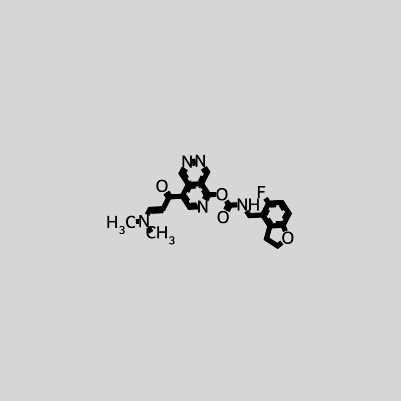 CN(C)/C=C/C(=O)c1cnc(OC(=O)NCc2c(F)ccc3c2CCO3)c2cnncc12